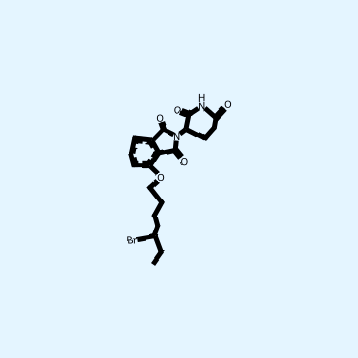 CCC(Br)CCCCOc1cccc2c1C(=O)N(C1CCC(=O)NC1=O)C2=O